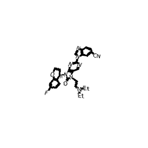 CCN(CC)CCn1c(=O)n([C@@H]2CCOc3cc(F)ccc32)c2nc(-n3cnc4ccc(C#N)cc43)ncc21